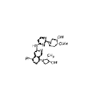 CO[C@@H]1CCN(c2nccc(Nc3cc4c(C(C)C)ccc(N5C[C@H](O)[C@H]5C)c4cn3)n2)C[C@@H]1O